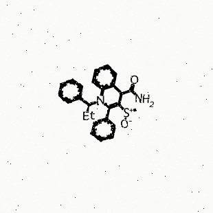 CC[C@@H](c1ccccc1)N1C(c2ccccc2)=C([S+](C)[O-])C(C(N)=O)c2ccccc21